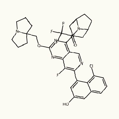 O=C(N1C2CCC1CN(c1nc(OCC34CCCN3CCC4)nc3c(F)c(-c4cc(O)cc5cccc(Cl)c45)ncc13)C2)C(F)(F)F